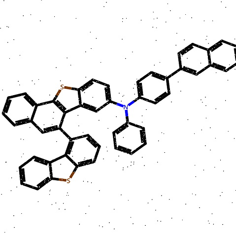 c1ccc(N(c2ccc(-c3ccc4ccccc4c3)cc2)c2ccc3sc4c5ccccc5cc(-c5cccc6sc7ccccc7c56)c4c3c2)cc1